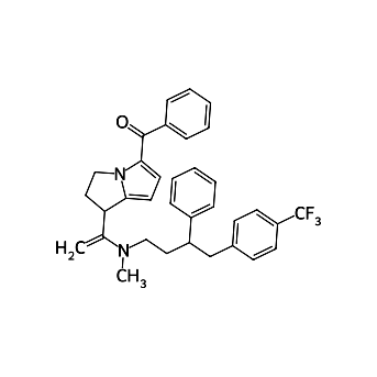 C=C(C1CCn2c(C(=O)c3ccccc3)ccc21)N(C)CCC(Cc1ccc(C(F)(F)F)cc1)c1ccccc1